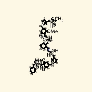 C=CS(=O)(=O)NCc1ccn(Cc2cc(OC)c3c(NS(=O)(=O)Cc4ccccc4/C=C/C(O)NCc4ccn(Cc5cc(OC)c6c(NS(=O)(=O)Cc7ccccc7)noc6c5)n4)noc3c2)n1